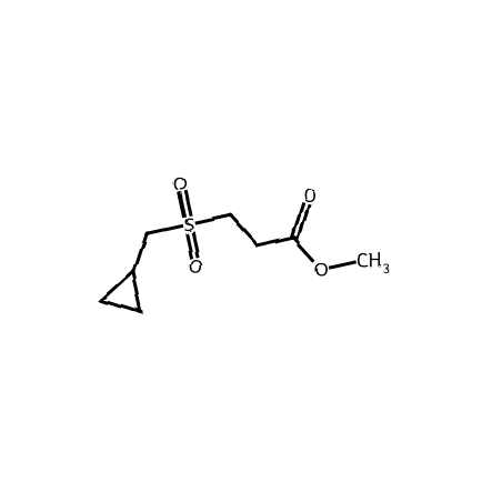 COC(=O)CCS(=O)(=O)CC1CC1